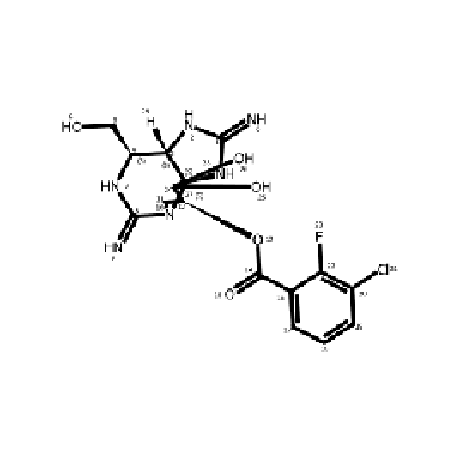 N=C1N[C@H]2[C@H](CO)NC(=N)N3C[C@H](OC(=O)c4cccc(Cl)c4F)C(O)(O)[C@]23N1